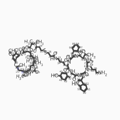 COc1cc2cc(c1Cl)N(C)C(=O)CC1(OC(=O)[C@H](C)N(C)C(=O)CCSSCCC(=O)NCCCC[C@H]3C(=O)N[C@@H](Cc4ccc(O)cc4)C(=O)N[C@H](Cc4c[nH]c5ccccc45)C(=O)N[C@@H](CCCCN)C(=O)N[C@@H]([C@@H](C)O)C(=O)N[C@@H](Cc4ccccc4)C(=O)N3C)O[C@@H]([C@H](C)[C@@H]3C[C@@](O)(NC(=O)O3)[C@H](OC)/C=C/C=C(\C)C2)[C@@H]1C